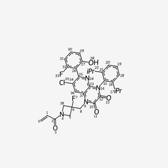 C=CC(=O)N1CC(F)(Cn2c(=O)c(=O)n(-c3c(C(C)C)cccc3C(C)C)c3nc(-c4c(O)cccc4F)c(Cl)cc32)C1